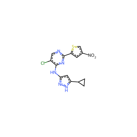 O=[N+]([O-])c1csc(-c2ncc(Cl)c(Nc3cc(C4CC4)[nH]n3)n2)c1